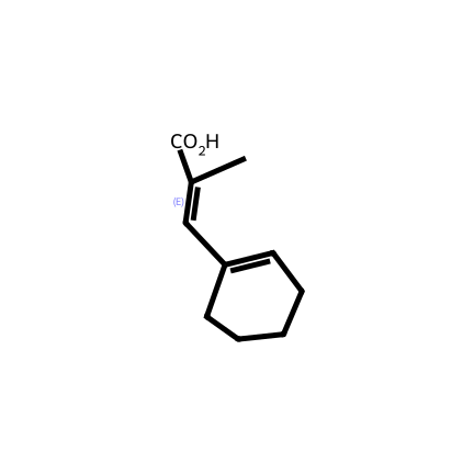 C/C(=C\C1=CCCCC1)C(=O)O